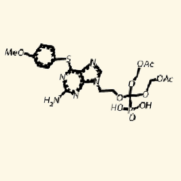 COc1ccc(Sc2nc(N)nc3c2ncn3CCOC(OCOC(C)=O)(OCOC(C)=O)P(=O)(O)O)cc1